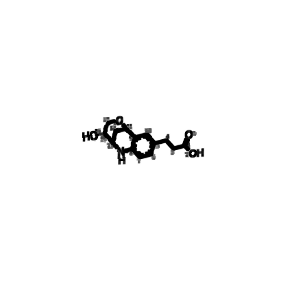 O=C(O)CCc1ccc2c(c1)C1CC(N2)[C@H](O)CO1